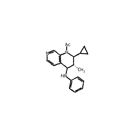 CC(=O)N1c2cnccc2C(Nc2ccccc2)[C@@H](C)C1C1CC1